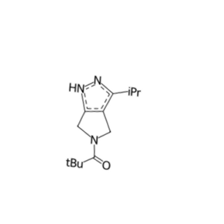 CC(C)c1n[nH]c2c1CN(C(=O)C(C)(C)C)C2